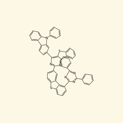 c1ccc(-c2nc(-c3ccccc3)nc(-c3cccc4sc5ccc(-c6nc(-c7ccc8c9ccccc9n(-c9ccccc9)c8c7)c7sc8ccccc8c7n6)cc5c34)n2)cc1